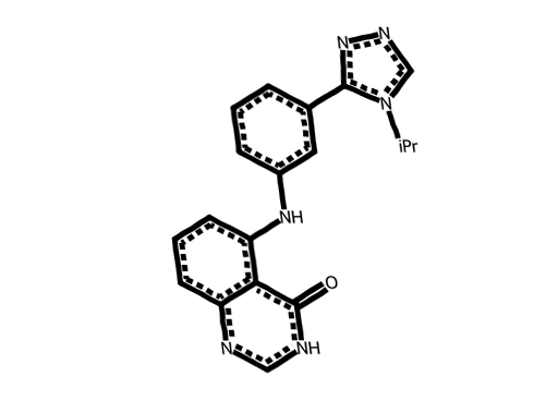 CC(C)n1cnnc1-c1cccc(Nc2cccc3nc[nH]c(=O)c23)c1